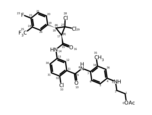 CC(=O)OCCNc1ccc(NC(=O)c2cc(NC(=O)[C@H]3[C@H](c4ccc(F)c(C(F)(F)F)c4)C3(Cl)Cl)ccc2Cl)c(C)c1